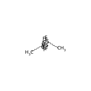 CCCCCCCCCCSc1c(C(F)(F)F)csc1-c1scc(C(F)(F)F)c1S(=O)(=O)CCCCCCCCCC